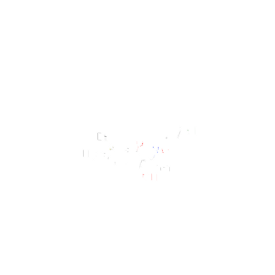 CCCC(=NOCC=CCl)C1=C(O)CC(CC(C)SCC)CC1=O